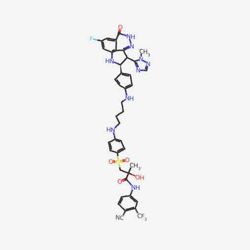 Cn1ncnc1C1c2n[nH]c(=O)c3cc(F)cc(c23)N[C@@H]1c1ccc(NCCCCNc2ccc(S(=O)(=O)CC(C)(O)C(=O)Nc3ccc(C#N)c(C(F)(F)F)c3)cc2)cc1